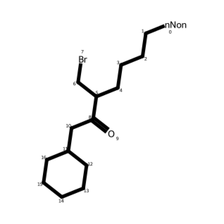 CCCCCCCCCCCCCC(CBr)C(=O)CC1CCCCC1